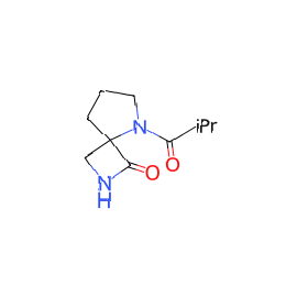 CC(C)C(=O)N1CCCC12CNC2=O